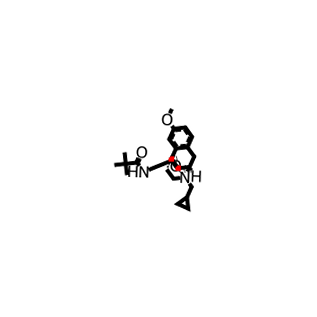 COc1ccc2c(c1)[C@@]13CCN(CC4CC4)[C@@H](C2)C1OCC(NC(=O)C(C)(C)C)C3